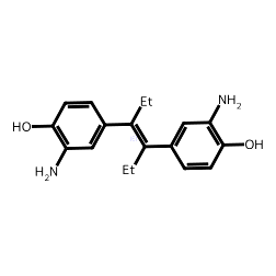 CC/C(=C(/CC)c1ccc(O)c(N)c1)c1ccc(O)c(N)c1